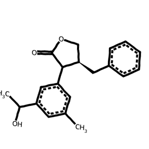 Cc1cc(C(C)O)cc(C2C(=O)OC[C@H]2Cc2ccccc2)c1